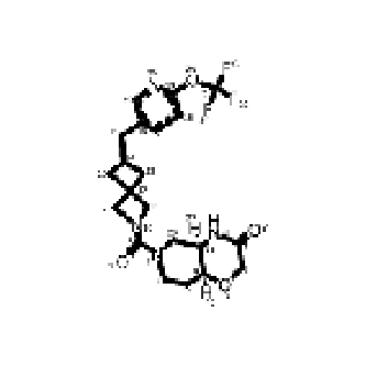 O=C1CO[C@H]2CCN(C(=O)N3CC4(CC(Cc5ccc(OC(F)(F)F)nc5)C4)C3)C[C@H]2N1